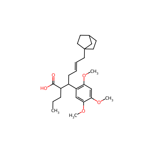 CCCC(C(=O)O)C(CC=CCC12CCC(CC1)C2)c1cc(OC)c(OC)cc1OC